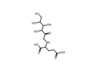 O=C(O)CCC(NCC(=O)C(O)C(O)C(O)CO)C(=O)O